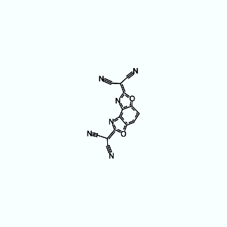 N#CC(C#N)=c1nc2c(ccc3oc(=C(C#N)C#N)nc32)o1